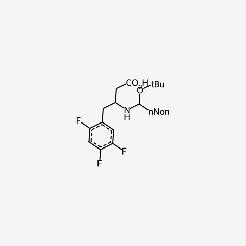 CCCCCCCCCC(NC(CC(=O)O)Cc1cc(F)c(F)cc1F)OC(C)(C)C